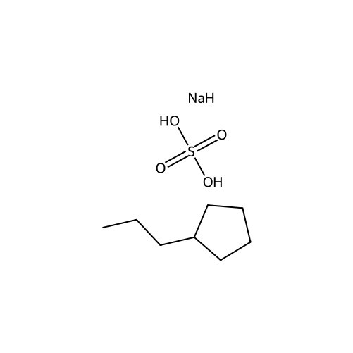 CCCC1CCCC1.O=S(=O)(O)O.[NaH]